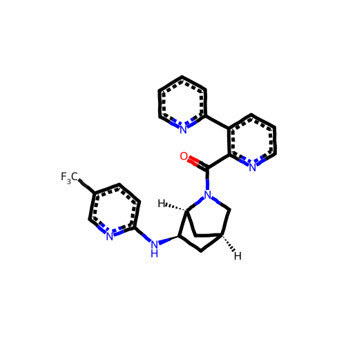 O=C(c1ncccc1-c1ccccn1)N1C[C@H]2C[C@@H](Nc3ccc(C(F)(F)F)cn3)[C@@H]1C2